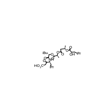 CCC(C)[C@H](OC(=O)[C@H](C)OC(=O)C[C@@H](C)OC(=O)[C@@H](O)CC(C)C)C(=O)N[C@@H](CC(C)C)C(=O)CC(=O)O